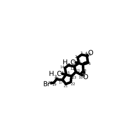 CC12CCC(=O)C=C1C1OC1C1C2CCC2(C)C(CCBr)CCC12